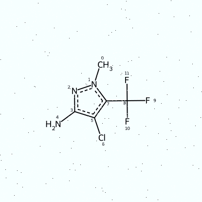 Cn1nc(N)c(Cl)c1C(F)(F)F